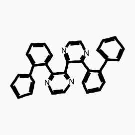 c1ccc(-c2ccccc2-c2nccnc2-c2nccnc2-c2ccccc2-c2ccccc2)cc1